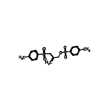 C=C(COS(=O)(=O)c1ccc(C)cc1)CS(=O)(=O)c1ccc(C)cc1